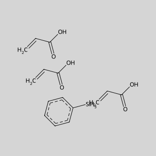 C=CC(=O)O.C=CC(=O)O.C=CC(=O)O.[SiH3]c1ccccc1